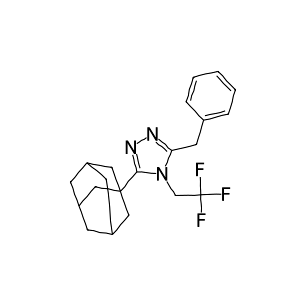 FC(F)(F)Cn1c(Cc2ccccc2)nnc1C12CC3CC(CC(C3)C1)C2